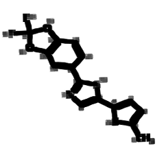 Cc1ccc(-c2cnc(-c3ccc4c(c3)OC(F)(F)O4)s2)s1